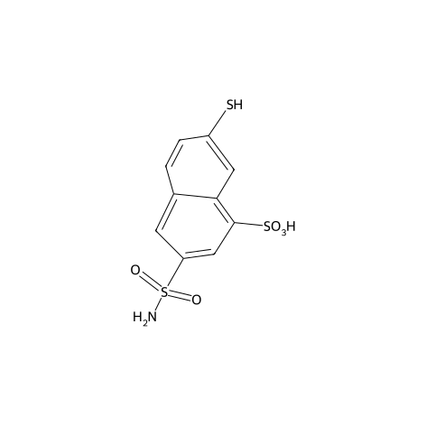 NS(=O)(=O)c1cc(S(=O)(=O)O)c2cc(S)ccc2c1